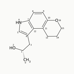 C[C@H](O)Cc1c[nH]c2ccc3c(c12)CCCO3